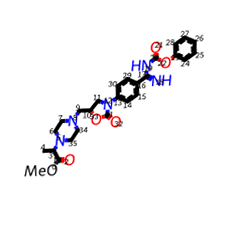 COC(=O)C(C)N1CCN(CC2CN(c3ccc(C(=N)NC(=O)Oc4ccccc4)cc3)C(=O)O2)CC1